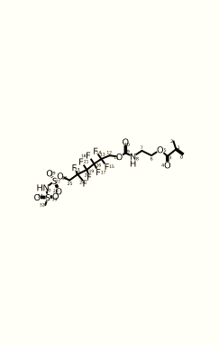 C=C(C)C(=O)OCCNC(=O)OCC(F)(F)C(F)(F)C(F)(F)C(F)(F)COS(=O)(=O)NS(C)(=O)=O